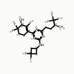 C[C@@H](CCc1nc(NC2CC(F)(F)C2)nc(C2=C(F)[C@H](O)C(F)(F)CC2)n1)C(F)(F)F